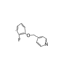 Fc1[c]cccc1OCc1ccncc1